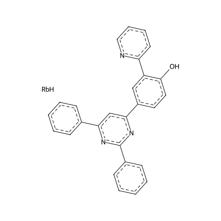 Oc1ccc(-c2cc(-c3ccccc3)nc(-c3ccccc3)n2)cc1-c1ccccn1.[RbH]